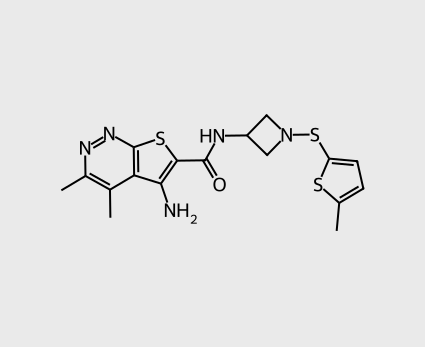 Cc1ccc(SN2CC(NC(=O)c3sc4nnc(C)c(C)c4c3N)C2)s1